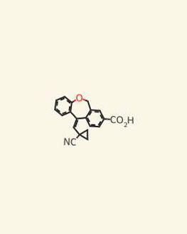 N#CC1(/C=C2\c3ccc(C(=O)O)cc3COc3ccccc32)CC1